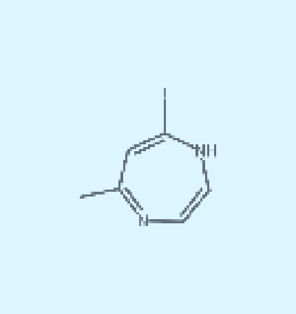 CC1=NC=CNC(I)=C1